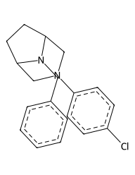 Clc1ccc(N2CC3CCC(C2)N3Cc2ccccc2)cc1